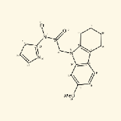 CCN(C(=O)Cn1c2c(c3ccc(OC)cc31)CCCC2)c1nccs1